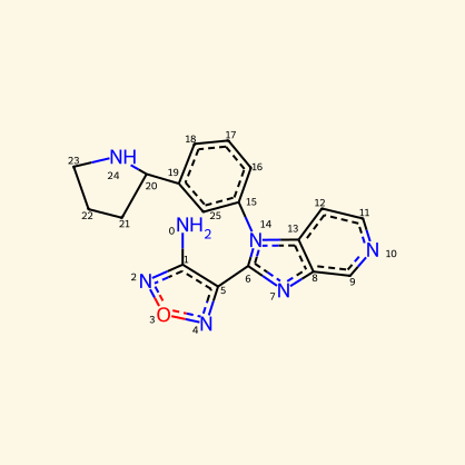 Nc1nonc1-c1nc2cnccc2n1-c1cccc(C2CCCN2)c1